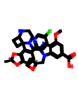 COc1cc(C(=O)O)cc2c1nc(CN1CCNC3CCC31c1c(-c3ccc(Cl)cn3)ccc3c1O[C@H](C)O3)n2C[C@@H]1CCO1